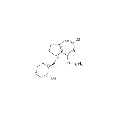 COc1nc(Cl)cc2c1[C@H](C[C@@H]1CCOC[C@H]1O)CC2